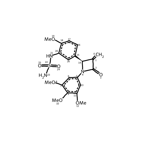 C=C1C(=O)N(c2cc(OC)c(OC)c(OC)c2)[C@H]1c1ccc(OC)c(NS(N)(=O)=O)c1